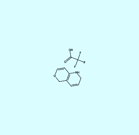 C1=CC2=C(C=COC2)NC1.O=C(O)C(F)(F)F